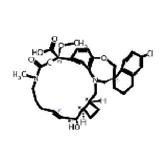 CO[C@]1(C(=O)O)CC(=O)N(C)CCC/C=C/[C@H](O)[C@@H]2CC[C@H]2CN2C[C@@]3(CCCc4cc(Cl)ccc43)COc3ccc1cc32